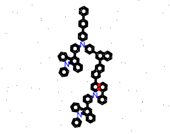 c1ccc(-c2ccc(-c3ccc(N(c4ccc(-c5cc(-c6ccc7cc(-c8ccc(N(c9cccc(-c%10cc%11ccccc%11c%11c%10c%10ccccc%10n%11-c%10ccccc%10)c9)c9ccccc9-c9ccccc9)cc8)ccc7c6)c6ccccc6c5)cc4)c4cccc(-c5cc6ccccc6c6c5c5ccccc5n6-c5ccccc5)c4)cc3)cc2)cc1